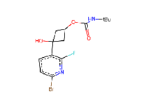 CC(C)(C)NC(=O)OC1CC(O)(c2ccc(Br)nc2F)C1